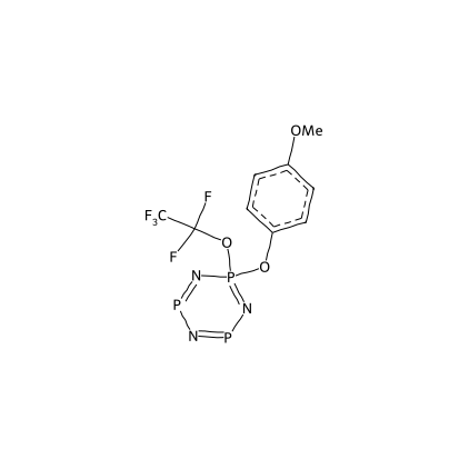 COc1ccc(OP2(OC(F)(F)C(F)(F)F)=NP=NP=N2)cc1